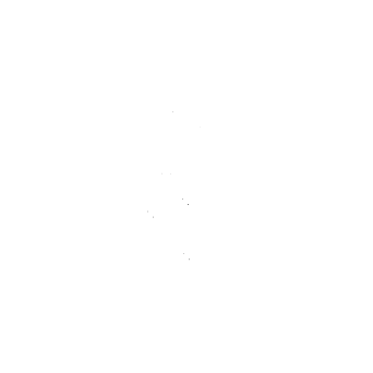 Nc1cnc(Nc2cccc(Cl)c2)nc1O